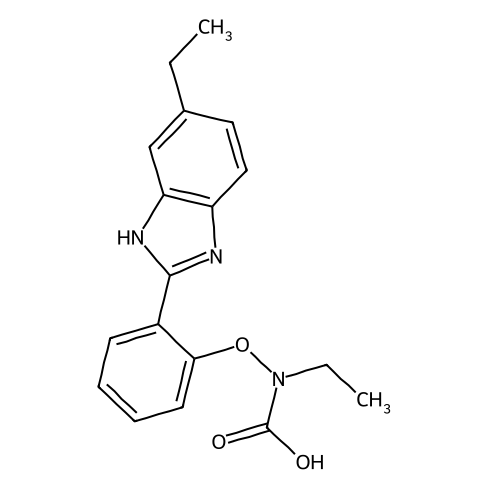 CCc1ccc2nc(-c3ccccc3ON(CC)C(=O)O)[nH]c2c1